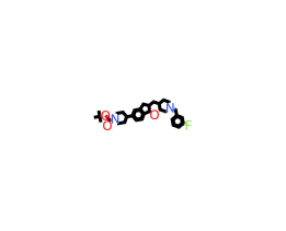 CC(C)(C)OC(=O)N1CCC(c2ccc3c(c2)CC(CC2CCN(Cc4cccc(F)c4)CC2)C3=O)CC1